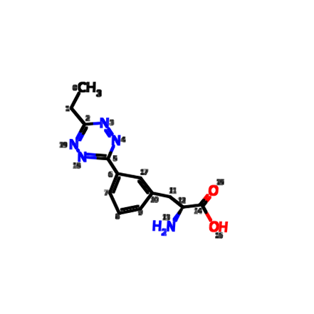 CCc1nnc(-c2cccc(C[C@H](N)C(=O)O)c2)nn1